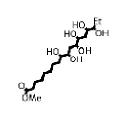 CCC(O)C(O)CC(O)C(O)CC(O)C(O)CCCCCCCC(=O)OC